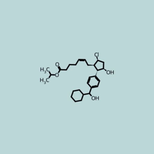 CC(C)OC(=O)CCC/C=C\C[C@@H]1[C@@H](c2ccc(C(O)C3CCCCC3)cc2)[C@H](O)C[C@@H]1Cl